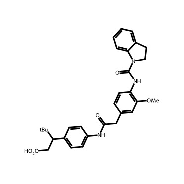 COc1cc(CC(=O)Nc2ccc(C(CC(=O)O)C(C)(C)C)cc2)ccc1NC(=O)N1CCc2ccccc21